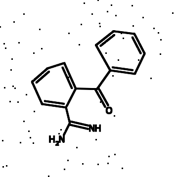 N=C(N)c1ccccc1C(=O)c1ccccc1